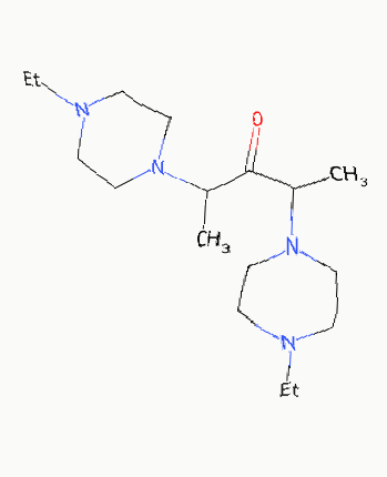 CCN1CCN(C(C)C(=O)C(C)N2CCN(CC)CC2)CC1